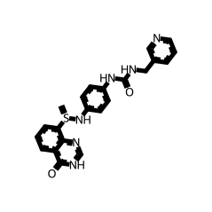 C=S(Nc1ccc(NC(=O)NCc2cccnc2)cc1)c1cccc2c(=O)[nH]cnc12